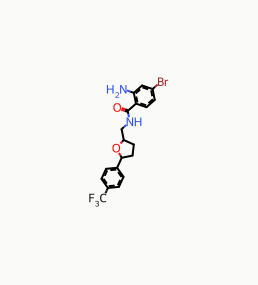 Nc1cc(Br)ccc1C(=O)NCC1CCC(c2ccc(C(F)(F)F)cc2)O1